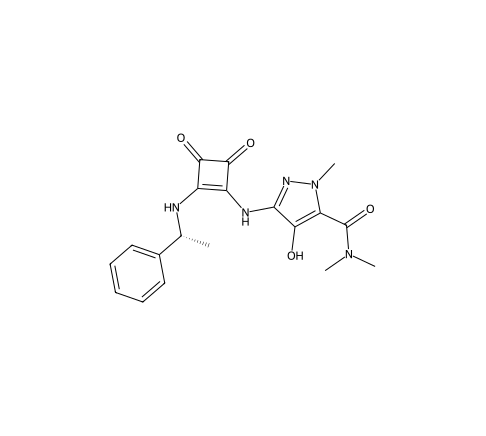 C[C@@H](Nc1c(Nc2nn(C)c(C(=O)N(C)C)c2O)c(=O)c1=O)c1ccccc1